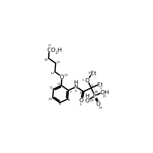 CCOC(CC)(C(=O)Nc1ccccc1OCCCC(=O)O)P(=O)(O)O